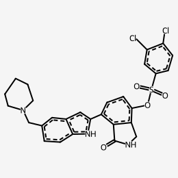 O=C1NCc2c(OS(=O)(=O)c3ccc(Cl)c(Cl)c3)ccc(-c3cc4cc(CN5CCCCC5)ccc4[nH]3)c21